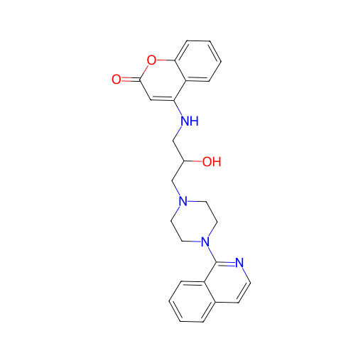 O=c1cc(NCC(O)CN2CCN(c3nccc4ccccc34)CC2)c2ccccc2o1